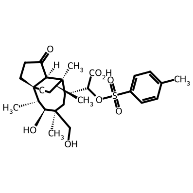 Cc1ccc(S(=O)(=O)OC(C(=O)O)[C@@H]2C[C@@](C)(CO)[C@@H](O)[C@H](C)[C@]34CCC(=O)[C@H]3[C@]2(C)[C@H](C)CC4)cc1